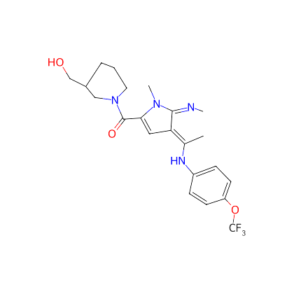 C/N=C1\C(=C(/C)Nc2ccc(OC(F)(F)F)cc2)C=C(C(=O)N2CCCC(CO)C2)N1C